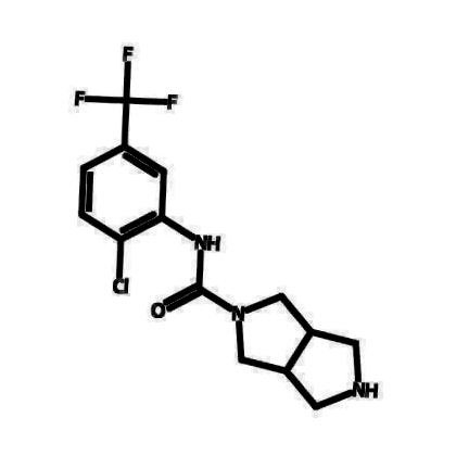 O=C(Nc1cc(C(F)(F)F)ccc1Cl)N1CC2CNCC2C1